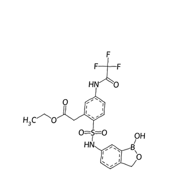 CCOC(=O)Cc1cc(NC(=O)C(F)(F)F)ccc1S(=O)(=O)Nc1ccc2c(c1)B(O)OC2